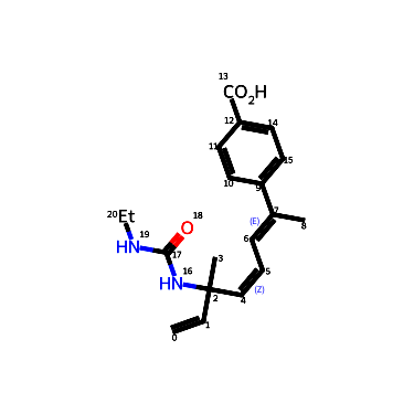 C=CC(C)(/C=C\C=C(/C)c1ccc(C(=O)O)cc1)NC(=O)NCC